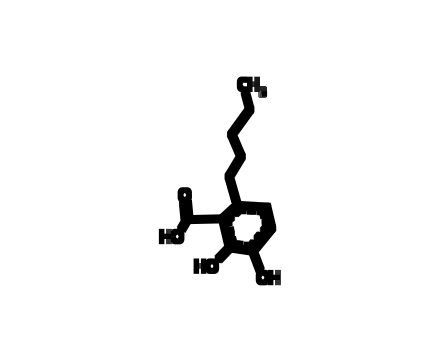 CCCCCc1ccc(O)c(O)c1C(=O)O